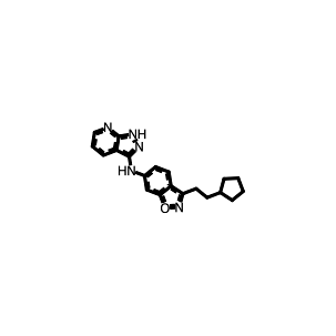 c1cnc2[nH]nc(Nc3ccc4c(CCC5CCCC5)noc4c3)c2c1